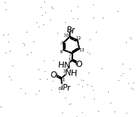 CC(C)C(=O)NNC(=O)c1ccc(Br)cc1